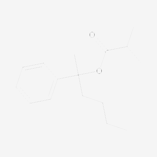 CCCCC(C)(OC(=O)C(C)C)c1ccccc1